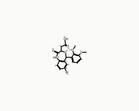 COc1cccc(C2OC(CC(=O)O)C(=O)Nc3ccc(Br)cc32)c1OC